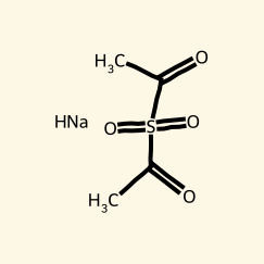 CC(=O)S(=O)(=O)C(C)=O.[NaH]